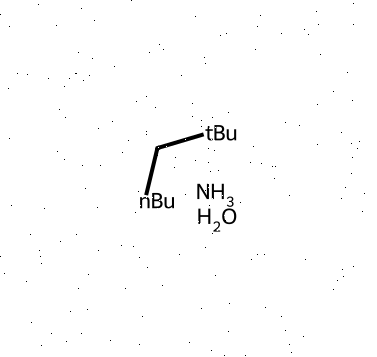 CCCCCC(C)(C)C.N.O